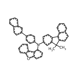 CC1(C)c2cc(N(c3ccc(-c4ccc5ccccc5c4)cc3)c3cccc4oc5ccccc5c34)ccc2-c2c1ccc1ccccc21